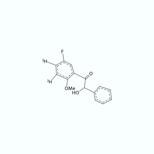 [2H]c1c(F)cc(C(=O)C(O)c2ccccc2)c(OC)c1[2H]